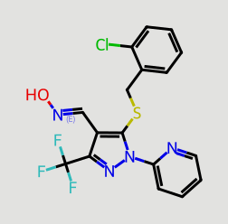 O/N=C/c1c(C(F)(F)F)nn(-c2ccccn2)c1SCc1ccccc1Cl